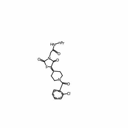 CCCNC(=O)CN1C(=O)SC(=C2CCN(C(=O)c3ccccc3Cl)CC2)C1=O